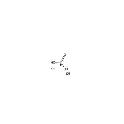 O=[PH](O)O.[KH].[KH]